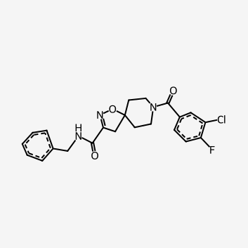 O=C(NCc1ccccc1)C1=NOC2(CCN(C(=O)c3ccc(F)c(Cl)c3)CC2)C1